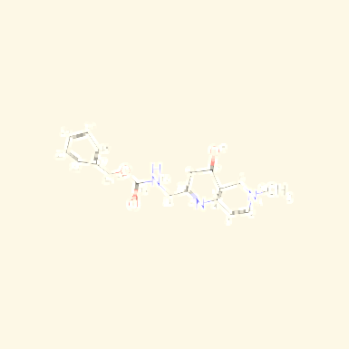 CN1C=CC2=C(C1)C(=O)CC(CNC(=O)OCc1ccccc1)=N2